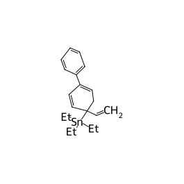 C=C[C]1([Sn]([CH2]C)([CH2]C)[CH2]C)C=CC(c2ccccc2)=CC1